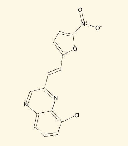 O=[N+]([O-])c1ccc(C=Cc2cnc3cccc(Cl)c3n2)o1